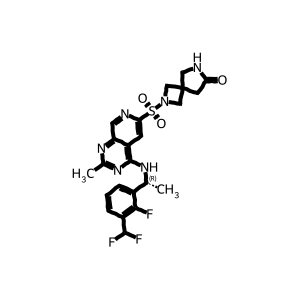 Cc1nc(N[C@H](C)c2cccc(C(F)F)c2F)c2cc(S(=O)(=O)N3CC4(CNC(=O)C4)C3)ncc2n1